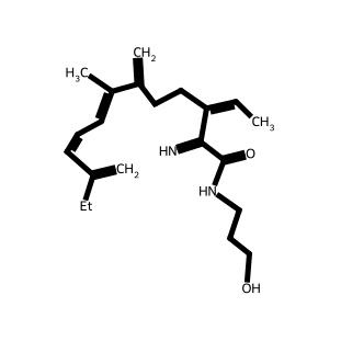 C=C(/C=C\C=C(/C)C(=C)CC/C(=C/C)C(=N)C(=O)NCCCO)CC